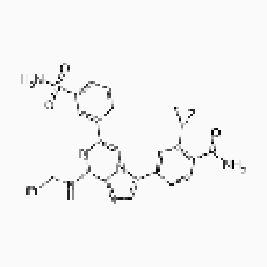 CC(C)CNc1nc(-c2cccc(S(N)(=O)=O)c2)cn2c(-c3ccc(C(N)=O)c(C4CC4)c3)cnc12